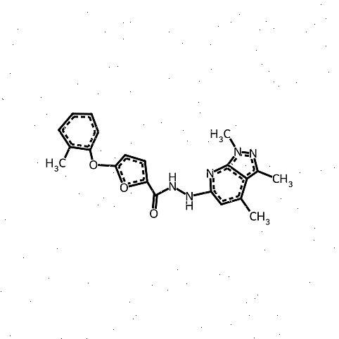 Cc1ccccc1Oc1ccc(C(=O)NNc2cc(C)c3c(C)nn(C)c3n2)o1